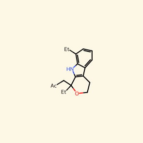 CCc1cccc2c3c([nH]c12)C(CC)(CC(C)=O)OCC3